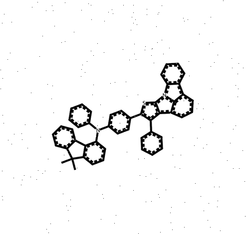 CC1(C)c2ccccc2-c2c(N(c3ccccc3)c3ccc(-c4sc5c(c4-c4ccccc4)c4cccc6c7ccccc7n5c64)cc3)cccc21